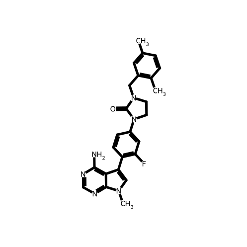 Cc1ccc(C)c(CN2CCN(c3ccc(-c4cn(C)c5ncnc(N)c45)c(F)c3)C2=O)c1